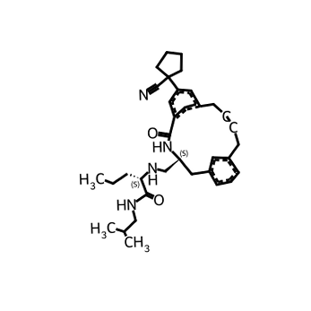 CCC[C@H](NC[C@@H]1Cc2cccc(c2)CCCCc2cc(cc(C3(C#N)CCCC3)c2)C(=O)N1)C(=O)NCC(C)C